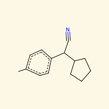 Cc1ccc(C(C#N)C2CCCC2)cc1